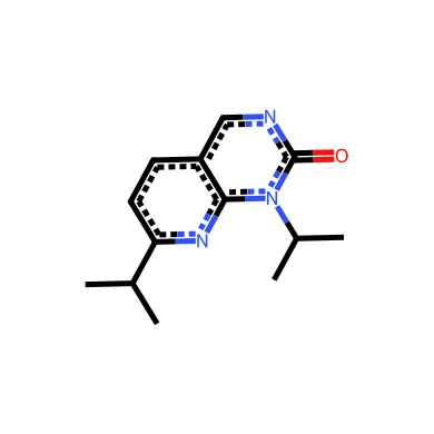 CC(C)c1ccc2cnc(=O)n(C(C)C)c2n1